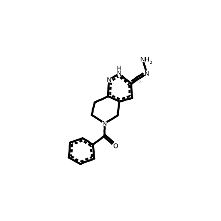 N/N=c1/cc2c(n[nH]1)CCN(C(=O)c1ccccc1)C2